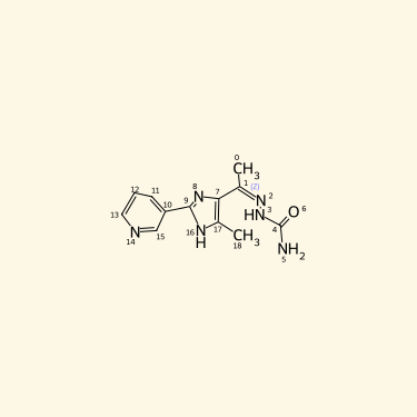 C/C(=N/NC(N)=O)c1nc(-c2cccnc2)[nH]c1C